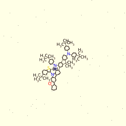 CC(C)(C)c1ccc(Nc2cc3c(cc2-c2ccc4c5cc6c(cc5n5c4c2Bc2sc4ccc(C(C)(C)C)cc4c2-5)oc2ccccc26)C(C)(C)c2cc(N(c4ccc(C(C)(C)C)cc4)c4ccc(C(C)(C)C)cc4)ccc2-3)cc1